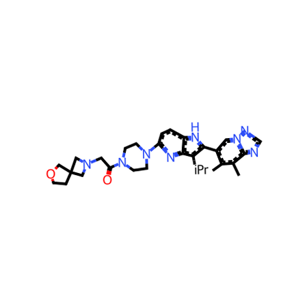 Cc1c(-c2[nH]c3ccc(N4CCN(C(=O)CN5CC6(CCOC6)C5)CC4)nc3c2C(C)C)cn2ncnc2c1C